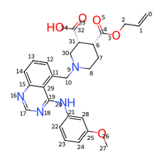 C=CCOC(=O)[C@@H]1CCN(Cc2cccc3ncnc(Nc4cccc(OC)c4)c23)C[C@@H]1C(=O)O